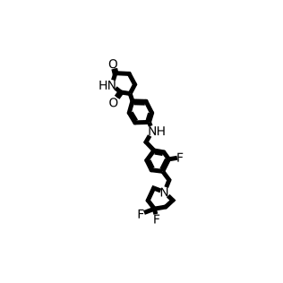 O=C1CCC(c2ccc(NCc3ccc(CN4CCC(F)(F)CC4)c(F)c3)cc2)C(=O)N1